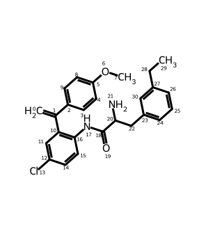 C=C(c1ccc(OC)cc1)c1cc(Cl)ccc1NC(=O)C(N)Cc1cccc(CC)c1